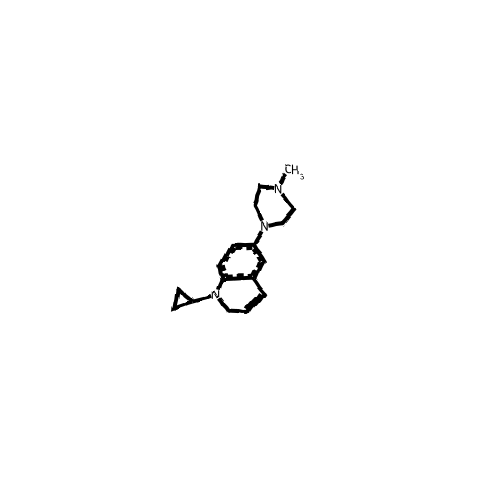 CN1CCN(c2ccc3c(c2)C=CCN3C2CC2)CC1